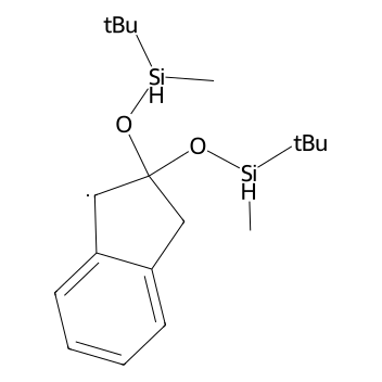 C[SiH](OC1(O[SiH](C)C(C)(C)C)[CH]c2ccccc2C1)C(C)(C)C